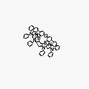 c1ccc(N(c2ccccc2)c2cc3c4c(c2)-n2c5ccccc5c5ccc6c(c52)B4c2cc4c(cc2N3c2ccccc2)N(c2ccccc2)c2cc(N(c3ccccc3)c3ccccc3)cc3c2B4c2c(ccc4c5ccccc5n-3c24)O6)cc1